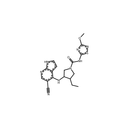 CCC1CN(C(=O)Nc2nc(OC)ns2)CC1Nc1c(C#N)cnc2[nH]ccc12